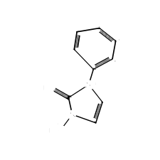 C=C1N(C)C=CN1c1ccccc1